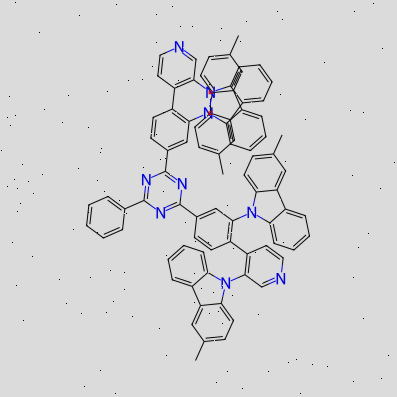 Cc1ccc2c(c1)c1ccccc1n2-c1cnccc1-c1ccc(-c2nc(-c3ccccc3)nc(-c3ccc(-c4ccncc4-n4c5ccccc5c5cc(C)ccc54)c(-n4c5ccccc5c5cc(C)ccc54)c3)n2)cc1-n1c2ccccc2c2cc(C)ccc21